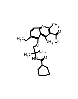 CCc1ccc2nc(C)c(C(=O)O)c(N)c2c1OCC(C)(C)NC(=O)C1CCCCC1